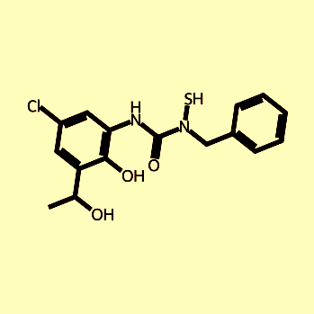 CC(O)c1cc(Cl)cc(NC(=O)N(S)Cc2ccccc2)c1O